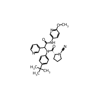 COc1ccc(NC(=O)C(c2cccnc2)N(C(=O)[C@H]2CCCN2C#N)c2ccc(C(C)(C)C)cc2)cn1